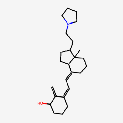 C=C1/C(=C\C=C2/CCCC3(C)C(CCN4CCCC4)CCC23)CCCC1O